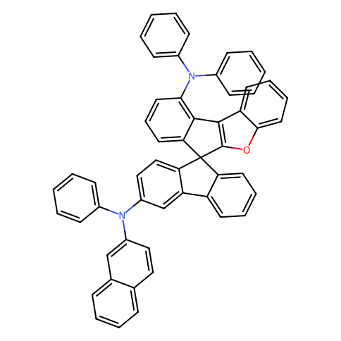 c1ccc(N(c2ccc3c(c2)-c2ccccc2C32c3cccc(N(c4ccccc4)c4ccccc4)c3-c3c2oc2ccccc32)c2ccc3ccccc3c2)cc1